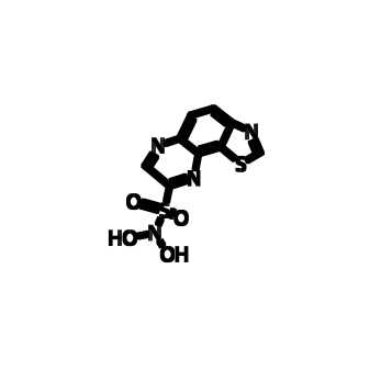 O=S(=O)(c1cnc2ccc3ncsc3c2n1)N(O)O